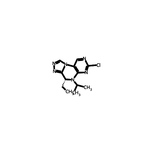 CC[C@@H]1c2nncn2-c2cnc(Cl)nc2N1C(C)C